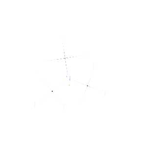 FC(F)(F)N(C(F)(F)F)C(F)(F)F